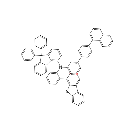 c1ccc(C2(c3ccccc3)c3ccccc3-c3c(N(c4cccc(-c5ccc(-c6cccc7ccccc67)cc5)c4)c4ccccc4-c4cccc5c4sc4ccccc45)cccc32)cc1